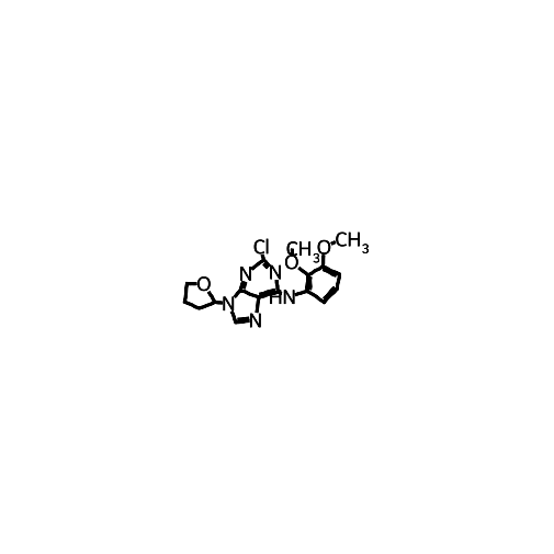 COc1cccc(Nc2nc(Cl)nc3c2ncn3C2CCCO2)c1OC